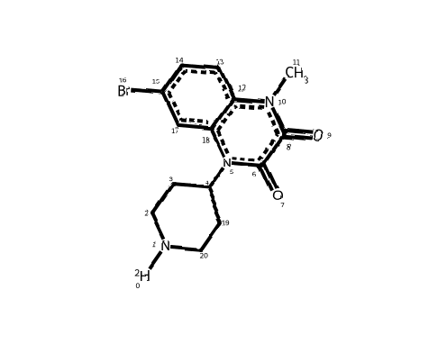 [2H]N1CCC(n2c(=O)c(=O)n(C)c3ccc(Br)cc32)CC1